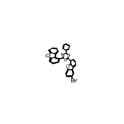 Brc1ccc2oc3c(-c4nc(-c5ccccc5)nc(-c5cccc6oc7ccccc7c56)n4)cccc3c2c1